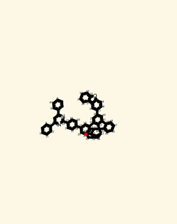 c1ccc(-c2cc(-c3ccccc3)nc(-c3ccc(-c4cccc(-c5cc(-c6ccc7oc8ccccc8c7c6)cc6c5C5(c7ccccc7-6)C6CC7CC(C6)CC5C7)c4)cc3)n2)cc1